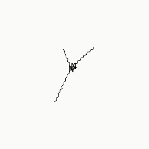 CCCCCCCCCCCCCCCCC[n+]1ccn(CCCCCCCCCCCCC)c1CCCCCCCCC